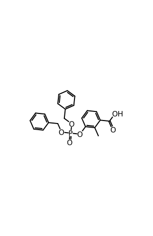 Cc1c(OP(=O)(OCc2ccccc2)OCc2ccccc2)cccc1C(=O)O